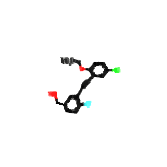 O=C(O)COc1ccc(Cl)cc1C#Cc1cc(CO)ccc1F